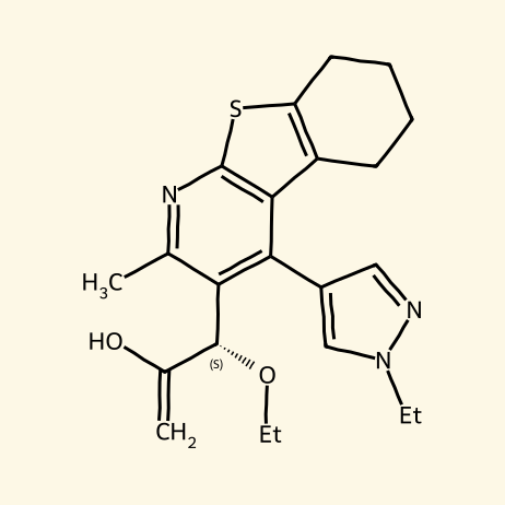 C=C(O)[C@@H](OCC)c1c(C)nc2sc3c(c2c1-c1cnn(CC)c1)CCCC3